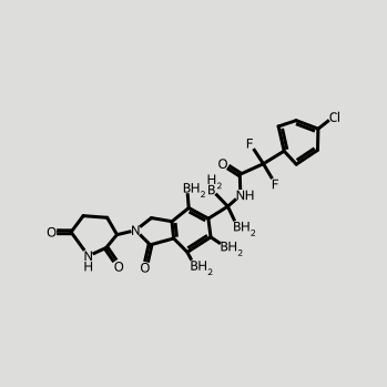 Bc1c(B)c(C(B)(B)NC(=O)C(F)(F)c2ccc(Cl)cc2)c(B)c2c1C(=O)N(C1CCC(=O)NC1=O)C2